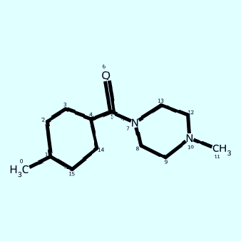 CC1CCC(C(=O)N2CCN(C)CC2)CC1